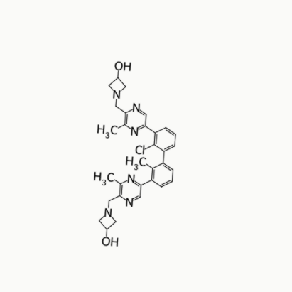 Cc1nc(-c2cccc(-c3cccc(-c4cnc(CN5CC(O)C5)c(C)n4)c3Cl)c2C)cnc1CN1CC(O)C1